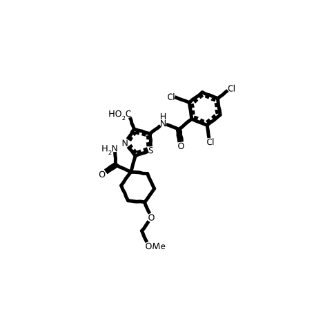 COCOC1CCC(C(N)=O)(c2nc(C(=O)O)c(NC(=O)c3c(Cl)cc(Cl)cc3Cl)s2)CC1